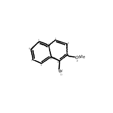 COc1ccc2c[c]ccc2c1Br